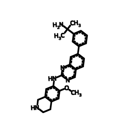 COc1cc2c(cc1Nc1ncc3ccc(-c4cccc(C(C)(C)N)c4)cc3n1)CNCC2